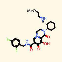 COCCNC[C@@H]1CCCC[C@@H]1N1CCn2cc(C(=O)NCc3ccc(F)cc3F)c(=O)c(O)c2C1=O